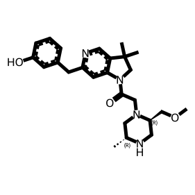 COC[C@H]1CN[C@H](C)CN1CC(=O)N1CC(C)(C)c2cnc(Cc3cccc(O)c3)cc21